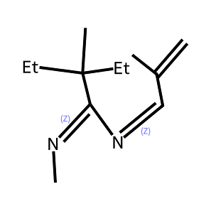 C=C(C)/C=N\C(=N/C)C(C)(CC)CC